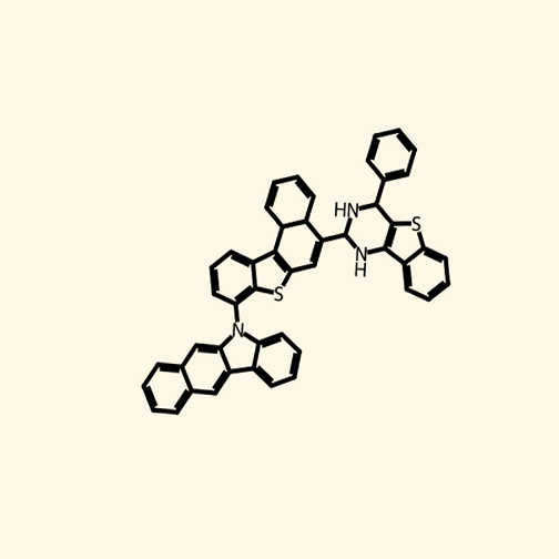 C1=CC2C(C3Nc4c(sc5ccccc45)C(c4ccccc4)N3)=Cc3sc4c(-n5c6ccccc6c6cc7ccccc7cc65)cccc4c3C2C=C1